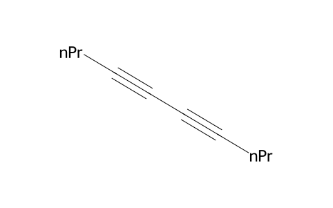 [CH2]CCC#CC#CCCC